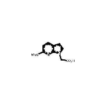 COc1ccc2ccn(CC(=O)O)c2n1